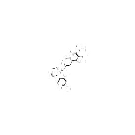 C[C@@H]1COC[C@H](c2ccc(Cl)nc2)N1C(=O)c1cc2c3c(c(N)nc2cn1)COC3